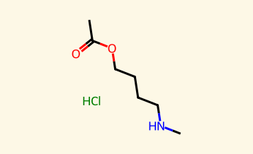 CNCCCCOC(C)=O.Cl